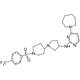 O=S(=O)(c1ccc(C(F)(F)F)cc1)N1CCC(N2CCC(Nc3nccc(N4CCCCCC4)n3)C2)CC1